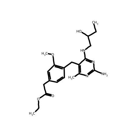 CCOC(=O)Cc1ccc(Cc2c(C)nc(N)nc2NCC(O)CC)c(OC)c1